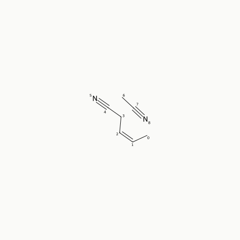 C/C=C\CC#N.CC#N